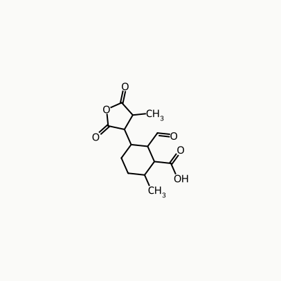 CC1CCC(C2C(=O)OC(=O)C2C)C(C=O)C1C(=O)O